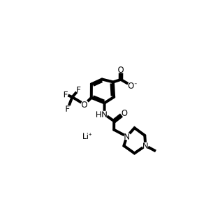 CN1CCN(CC(=O)Nc2cc(C(=O)[O-])ccc2OC(F)(F)F)CC1.[Li+]